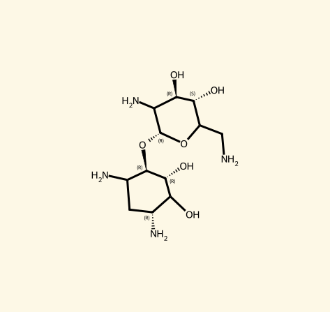 NCC1O[C@H](O[C@@H]2C(N)C[C@@H](N)C(O)[C@H]2O)C(N)[C@@H](O)[C@@H]1O